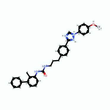 Cc1c(NC(=O)NCCCc2ccc(-c3ncn(-c4ccc(OC(F)(F)F)cc4)n3)cc2)cccc1-c1ccccc1